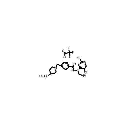 CCOC(=O)C1CCN(Cc2ccc(C(=O)NN(CC(C)C)c3nc(C#N)ncc3Cl)cc2)CC1.O=C(O)C(F)(F)F